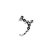 CCCCOCCOc1ccc(-c2ccc3c(c2)C=C(C(=O)Nc2ccc([C@H](O)c4cccc[n+]4[O-])cc2)CCN3Cc2nccs2)cc1